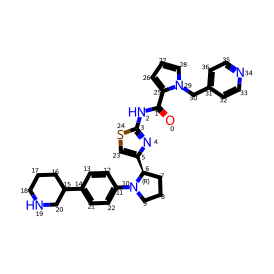 O=C(Nc1nc([C@H]2CCCN2c2ccc(C3CCCNC3)cc2)cs1)c1cccn1Cc1ccncc1